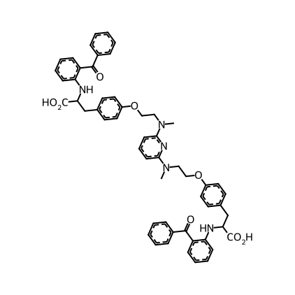 CN(CCOc1ccc(CC(Nc2ccccc2C(=O)c2ccccc2)C(=O)O)cc1)c1cccc(N(C)CCOc2ccc(CC(Nc3ccccc3C(=O)c3ccccc3)C(=O)O)cc2)n1